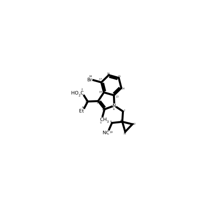 CCC(C(=O)O)c1c(C)n(CC2(CC#N)CC2)c2cccc(Br)c12